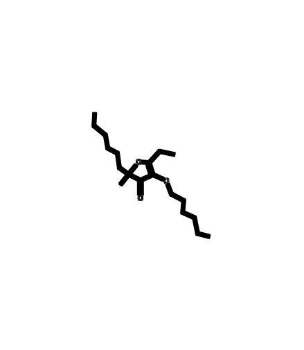 CCCCCCOC1=C(CC)OC(C)(CCCCCC)C1=O